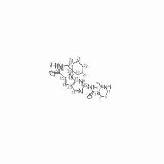 C[C@H]1NCCC[C@H]1C(=O)Nc1ncc2cc3n(c2n1)C1(CCCCC1)CNC3=O